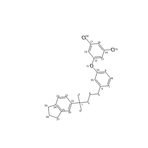 CC(C)(CCCc1cccc(Oc2cc(Cl)cc(Cl)c2)c1)c1ccc2c(c1)CCC2